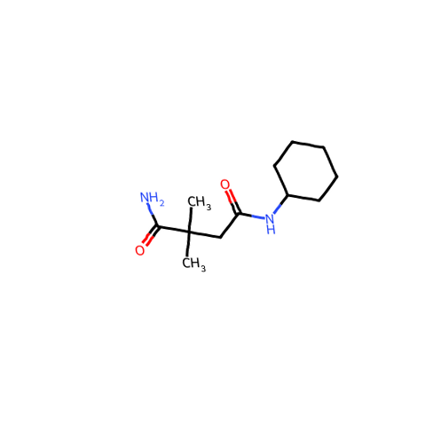 CC(C)(CC(=O)NC1CCCCC1)C(N)=O